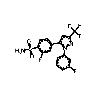 NS(=O)(=O)c1ccc(-c2cc(C(F)(F)F)nn2-c2cccc(F)c2)cc1F